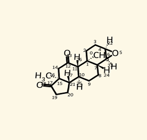 C[C@]12CC[C@H]3O[C@H]3[C@@H]1CC[C@@H]1[C@@H]2C(=O)C[C@]2(C)C(=O)CC[C@@H]12